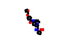 Cc1c(NC(=O)c2ccc(OCC3CCCO3)cc2)ccc2cc(CN[C@H]3CCCCC3O)cnc12